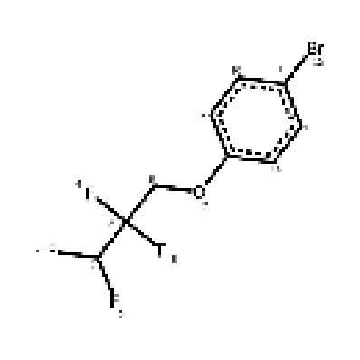 FC(F)C(F)(F)COc1ccc(Br)cc1